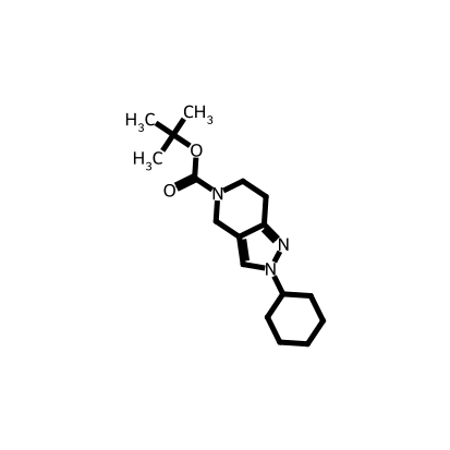 CC(C)(C)OC(=O)N1CCc2nn(C3CCCCC3)cc2C1